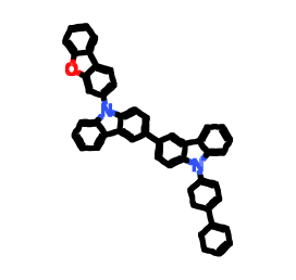 C1=CCCC(C2=CC=C(n3c4ccccc4c4cc(-c5ccc6c(c5)c5ccccc5n6-c5ccc6c(c5)oc5ccccc56)ccc43)CC2)=C1